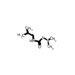 CC(C)CNC(=O)SN(C)C